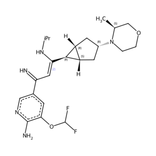 CC(C)N/C(=C\C(=N)c1cnc(N)c(OC(F)F)c1)[C@H]1[C@@H]2C[C@H](N3CCOC[C@@H]3C)C[C@@H]21